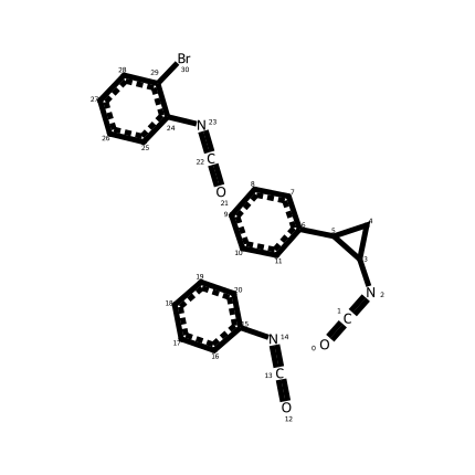 O=C=NC1CC1c1ccccc1.O=C=Nc1ccccc1.O=C=Nc1ccccc1Br